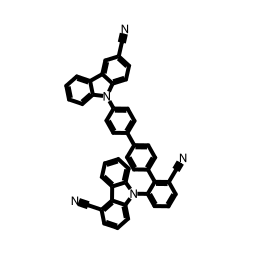 N#Cc1ccc2c(c1)c1ccccc1n2-c1ccc(-c2ccc(-c3c(C#N)cccc3-n3c4ccccc4c4c(C#N)cccc43)cc2)cc1